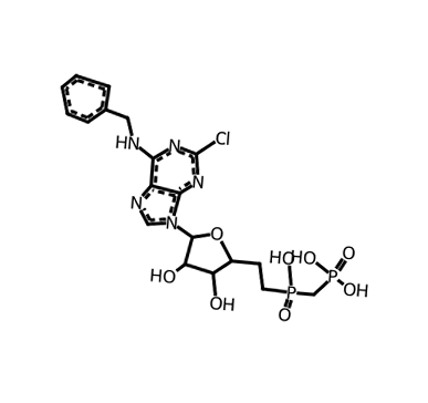 O=P(O)(O)CP(=O)(O)CCC1OC(n2cnc3c(NCc4ccccc4)nc(Cl)nc32)C(O)C1O